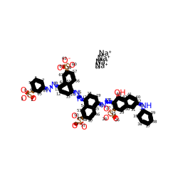 O=S(=O)([O-])c1cccc(N=Nc2ccc(N=Nc3ccc(N=Nc4c(S(=O)(=O)[O-])cc5cc(Nc6ccccc6)ccc5c4O)c4ccc(S(=O)(=O)[O-])cc34)c3ccc(S(=O)(=O)[O-])cc23)c1.[Na+].[Na+].[Na+].[Na+]